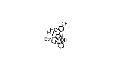 CCN1CCN([C@@H]2CCCC[C@H]2O)c2nnc(-c3ccc(C(F)(F)F)cc3O)c(C)c2C1